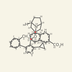 Cc1ccccc1-c1noc(C2CC2)c1COC1CC2CC[C@@H](C1)N2c1cccc2cc(C(=O)O)cnc12